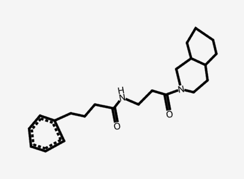 O=C(CCCc1ccccc1)NCCC(=O)N1CCC2CCCCC2C1